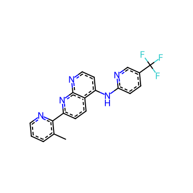 Cc1cccnc1-c1ccc2c(Nc3ccc(C(F)(F)F)cn3)ccnc2n1